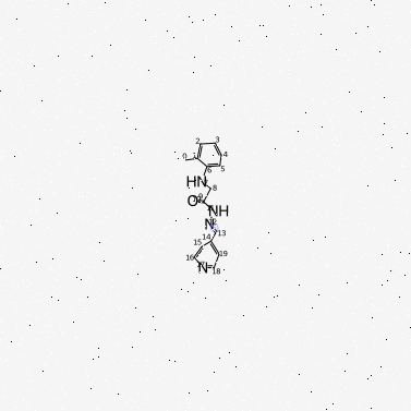 Cc1ccccc1NCC(=O)N/N=C/c1ccncc1